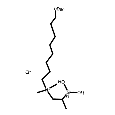 CCCCCCCCCCCCCCCCCC[N+](C)(C)CC(C)[SiH](O)O.[Cl-]